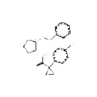 O=C(N[C@@H]1CCC[C@H]1OCc1ccccc1)C1(c2ccc(Cl)cc2)CC1